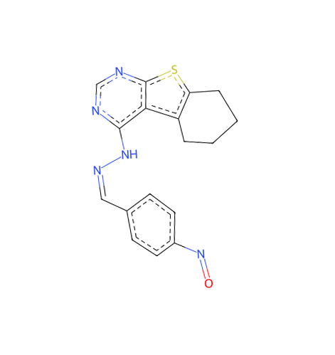 O=Nc1ccc(/C=N\Nc2ncnc3sc4c(c23)CCCC4)cc1